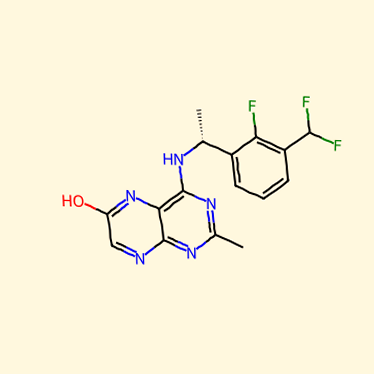 Cc1nc(N[C@H](C)c2cccc(C(F)F)c2F)c2nc(O)cnc2n1